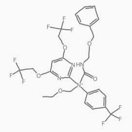 CCOC[N+](C(=O)NCOCc1ccccc1)(c1ccc(C(F)(F)F)cc1)c1nc(OCC(F)(F)F)cc(OCC(F)(F)F)n1